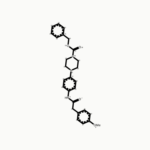 COc1ccc(CC(=O)Nc2ccc(N3CCN(C(=O)OCc4ccccc4)CC3)cc2)cc1